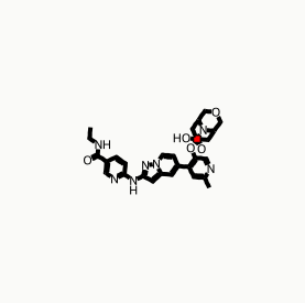 CCNC(=O)c1ccc(Nc2cc3cc(-c4cc(C)ncc4OC4CC5COCC(C4)N5C(=O)O)ccn3n2)nc1